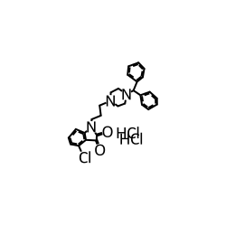 Cl.Cl.O=C1C(=O)N(CCCN2CCN(C(c3ccccc3)c3ccccc3)CC2)c2cccc(Cl)c21